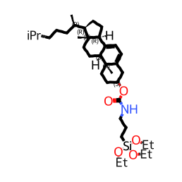 CCO[Si](CCCNC(=O)O[C@H]1CC[C@@]2(C)C(=CC=C3[C@@H]4CC[C@H]([C@H](C)CCCC(C)C)[C@@]4(C)CC[C@@H]32)C1)(OCC)OCC